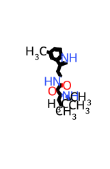 CCCC(NC(C)(C)C)C(=O)C(=O)NCCc1c[nH]c2ccc(C)cc12